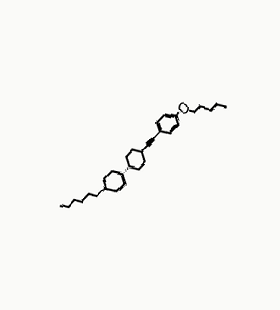 CCCCCC[C@H]1CC[C@H](C2CCC(C#Cc3ccc(OCCCCC)cc3)CC2)CC1